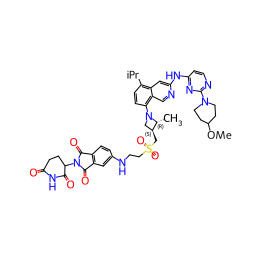 COC1CCN(c2nccc(Nc3cc4c(C(C)C)ccc(N5C[C@H](CS(=O)(=O)CCNc6ccc7c(c6)C(=O)N(C6CCC(=O)NC6=O)C7=O)[C@H]5C)c4cn3)n2)CC1